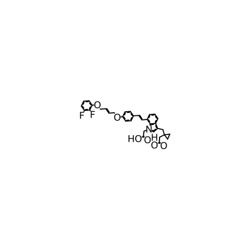 O=C(O)Cn1cc(CC2(CC(=O)O)CC2)c2cccc(C=Cc3ccc(OC/C=C/COc4cccc(F)c4F)cc3)c21